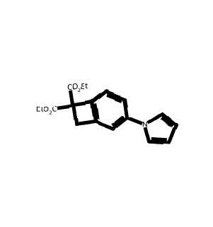 CCOC(=O)C1(C(=O)OCC)Cc2cc(-n3cccc3)ccc21